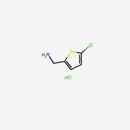 Cl.NCc1ccc(Cl)s1